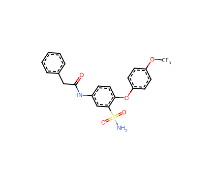 NS(=O)(=O)c1cc(NC(=O)Cc2ccccc2)ccc1Oc1ccc(OC(F)(F)F)cc1